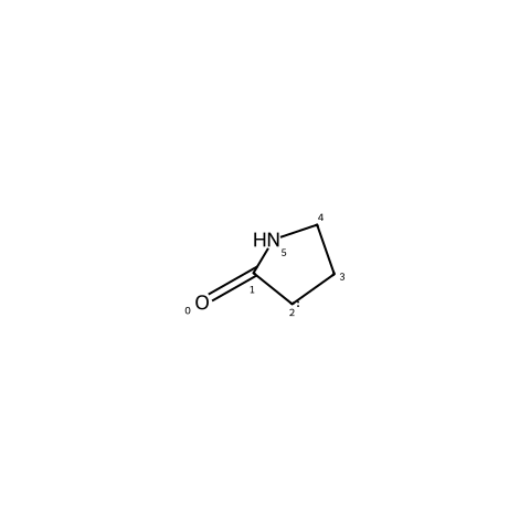 O=C1[C]CCN1